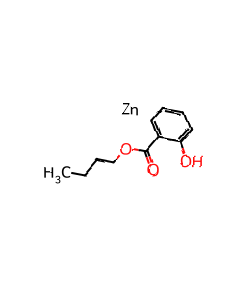 CCCCOC(=O)c1ccccc1O.[Zn]